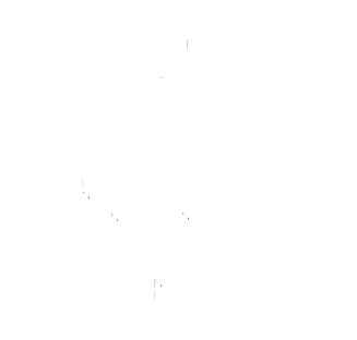 Cc1cc(Nc2cc3ccccc3c(-c3cccc(C(F)(F)F)c3)n2)n[nH]1